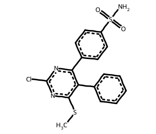 CSc1nc(Cl)nc(-c2ccc(S(N)(=O)=O)cc2)c1-c1ccccc1